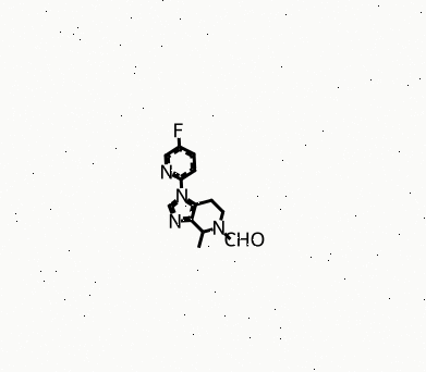 CC1c2ncn(-c3ccc(F)cn3)c2CCN1C=O